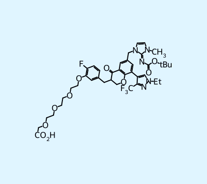 CCn1cc(-c2cc(Cn3ccn(C)c3=NC(=O)OC(C)(C)C)cc3c2OCC(Cc2ccc(F)c(OCCOCCOCCOCC(=O)O)c2)C3=O)c(C(F)(F)F)n1